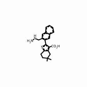 CC1(C)CCc2sc(-c3cc4ccccc4cc3CNN)c(C(=O)O)c2C1